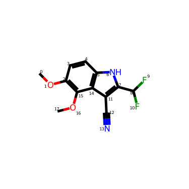 COc1ccc2[nH]c(C(F)F)c(C#N)c2c1OC